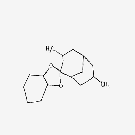 CC1CC2CC(C)C3(OC4CCCCC4O3)C(C1)C2